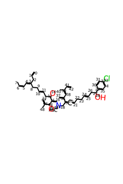 C=CC/C(=C/C=C\C)CC/C=C/CC(=O)/C(=C/N(CC(=C=CCC/C=C/C[C@H](O)c1ccc(Cl)cc1)C(=C)/C=C(\C)C=C)C(C)=O)C(=O)C(=C)C